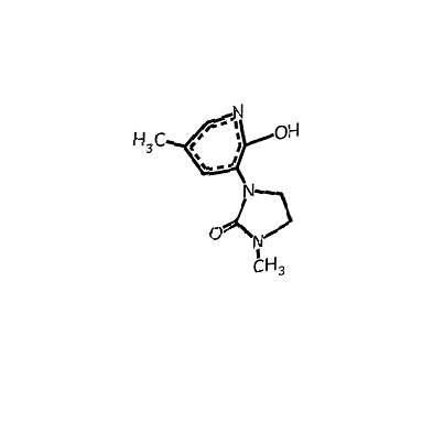 Cc1cnc(O)c(N2CCN(C)C2=O)c1